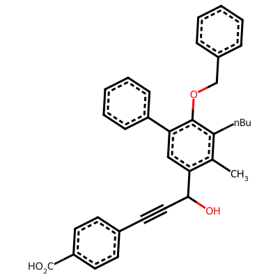 CCCCc1c(C)c(C(O)C#Cc2ccc(C(=O)O)cc2)cc(-c2ccccc2)c1OCc1ccccc1